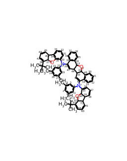 Cc1cc(C)cc(N(C2=CC3C(OC4c5ccccc5C(N(c5cc(C)cc(C)c5)c5cccc6c5OC5C(C(C)(C)C)=CC=CC65)=CC43)c3ccccc32)C2=CC=CC3C2OC2C(C(C)(C)C)=CC=CC23)c1